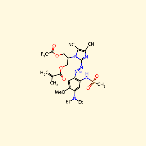 C=C(C)C(=O)OCC(COC(=O)C(F)(F)F)n1c(/N=N/c2cc(OC)c(N(CC)CC)cc2NS(C)(=O)=O)nc(C#N)c1C#N